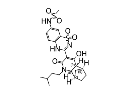 CC(C)CCN1C(=O)C(C2=NS(=O)(=O)c3cc(NS(C)(=O)=O)ccc3N2)=C(O)[C@@H]2[C@H]3CC[C@H](C3)[C@@H]21